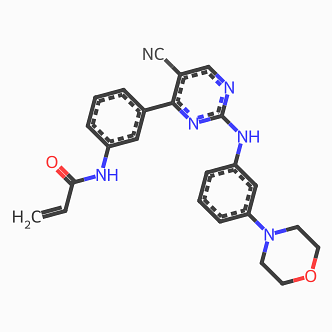 C=CC(=O)Nc1cccc(-c2nc(Nc3cccc(N4CCOCC4)c3)ncc2C#N)c1